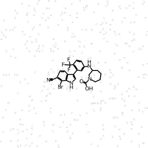 N#Cc1ccc2c(-c3cc(NC4CCCCN(C(=O)O)C4)ccc3C(F)(F)F)c[nH]c2c1Br